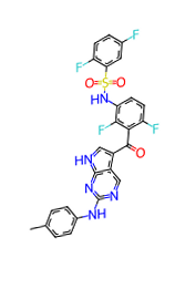 Cc1ccc(Nc2ncc3c(C(=O)c4c(F)ccc(NS(=O)(=O)c5cc(F)ccc5F)c4F)c[nH]c3n2)cc1